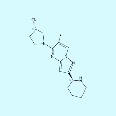 Cc1cn2nc([C@@H]3CCCCN3)cc2nc1N1CC[C@H](C#N)C1